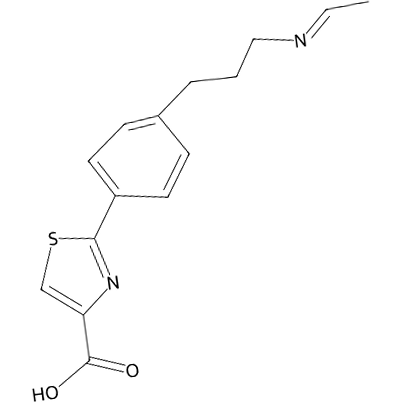 C/C=N/CCCc1ccc(-c2nc(C(=O)O)cs2)cc1